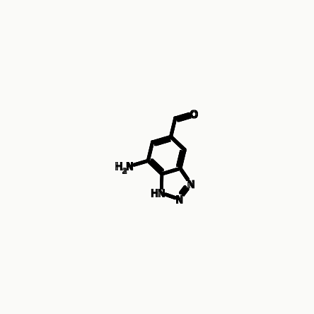 Nc1cc(C=O)cc2nn[nH]c12